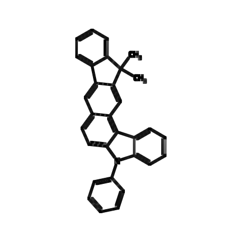 CC1(C)c2ccccc2-c2cc3ccc4c(c3cc21)c1ccccc1n4-c1ccccc1